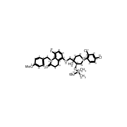 COc1ccc(CN2C(=O)CCc3c(OC[C@]4(O)CCN(c5ccc(Cl)cc5Cl)C[C@H]4O[Si](C)(C)C(C)(C)C)ccc(F)c32)cc1